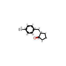 CCc1ccc(C[C@H]2CCCC2=O)cc1